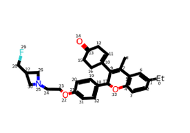 CCc1ccc2c(c1)C(C)=C(C1=CCC(=O)CC1)C(c1ccc(OCCN3CC(CF)C3)cc1)O2